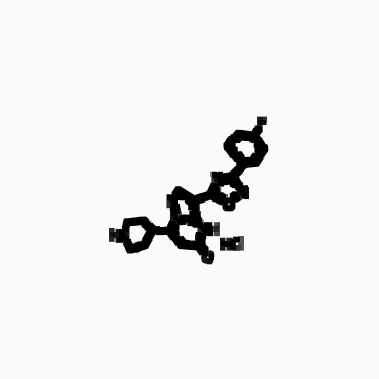 Cl.O=c1cc(C2CCNCC2)n2ncc(-c3nc(-c4ccc(F)cc4)no3)c2[nH]1